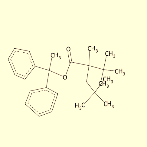 CC(C)(C)CC(C)(C(=O)OC(C)(c1ccccc1)c1ccccc1)C(C)(C)C